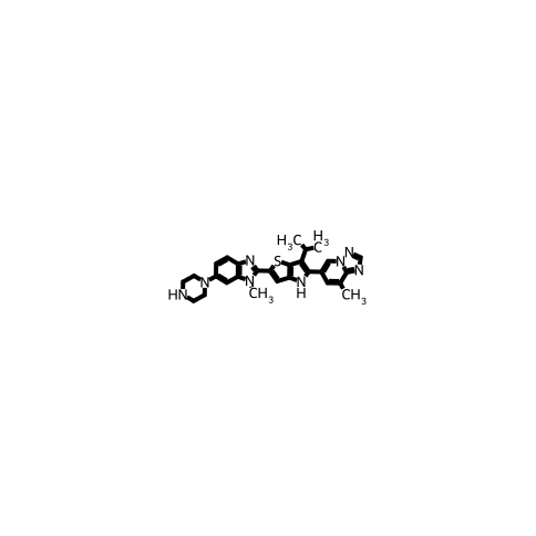 Cc1cc(-c2[nH]c3cc(-c4nc5ccc(N6CCNCC6)cc5n4C)sc3c2C(C)C)cn2ncnc12